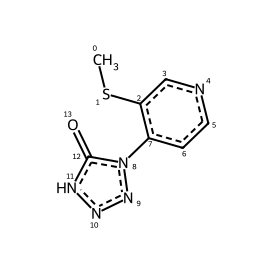 CSc1cnccc1-n1nn[nH]c1=O